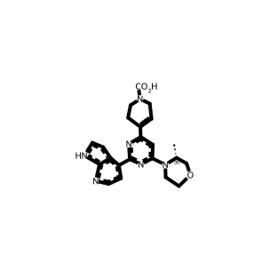 C[C@@H]1COCCN1c1cc(C2=CCN(C(=O)O)CC2)nc(-c2ccnc3[nH]ccc23)n1